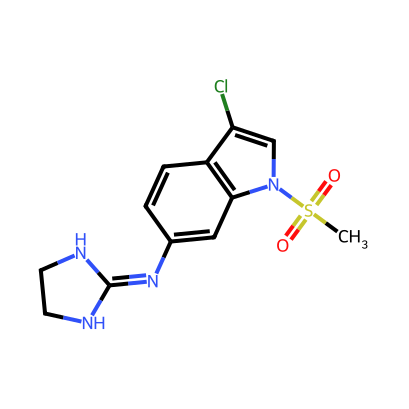 CS(=O)(=O)n1cc(Cl)c2ccc(N=C3NCCN3)cc21